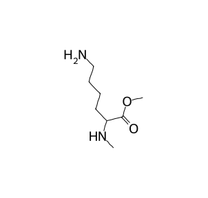 CNC(CCCCN)C(=O)OC